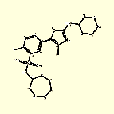 Cc1ccc(-c2sc(NC3CCCCC3)nc2C)cc1S(=O)(=O)NC1CCCCCC1